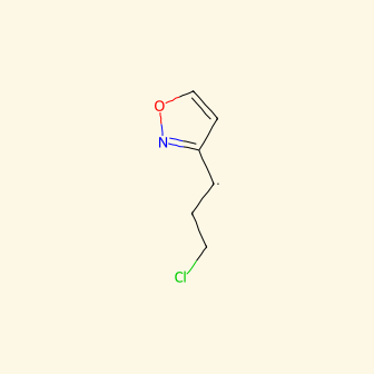 ClCC[CH]c1ccon1